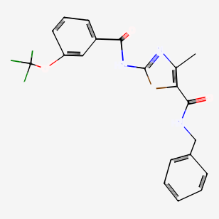 Cc1nc(NC(=O)c2cccc(OC(F)(F)F)c2)sc1C(=O)NCc1ccccc1